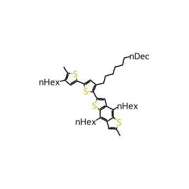 CCCCCCCCCCCCCCCCc1cc(-c2cc(CCCCCC)c(C)s2)sc1-c1cc2c(CCCCCC)c3sc(C)cc3c(CCCCCC)c2s1